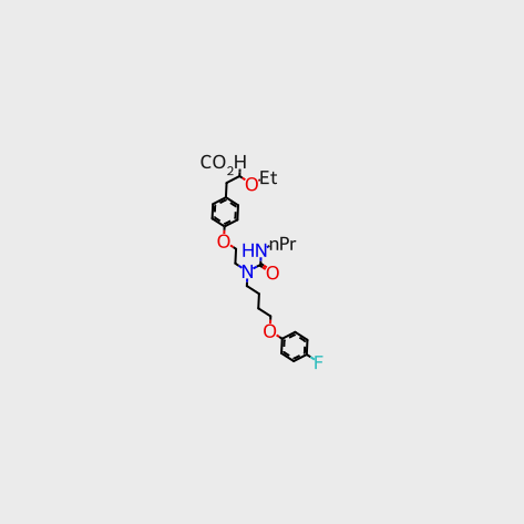 CCCNC(=O)N(CCCCOc1ccc(F)cc1)CCOc1ccc(CC(OCC)C(=O)O)cc1